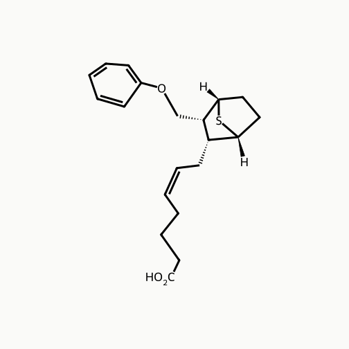 O=C(O)CCC/C=C\C[C@@H]1[C@H](COc2ccccc2)[C@@H]2CC[C@H]1S2